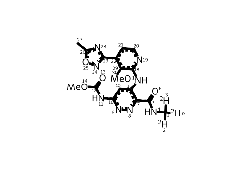 [2H]C([2H])([2H])NC(=O)c1nnc(NC(=O)OC)cc1Nc1nccc(-c2noc(C)n2)c1OC